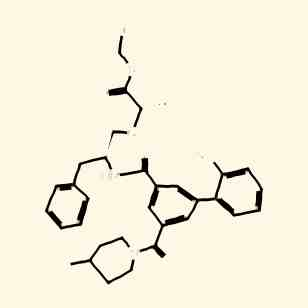 CC[C@H](NC[C@H](Cc1ccccc1)NC(=O)c1cc(C(=O)N2CCC(F)CC2)cc(-c2ccccc2C#N)c1)C(=O)NCC(C)C